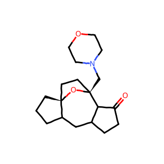 O=C1CCC2CC3CCC[C@]34CC[C@@](CN3CCOCC3)(O4)C12